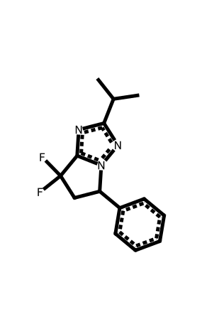 CC(C)c1nc2n(n1)C(c1ccccc1)CC2(F)F